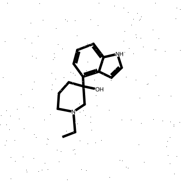 CCN1CCCC(O)(c2cccc3[nH]ccc23)C1